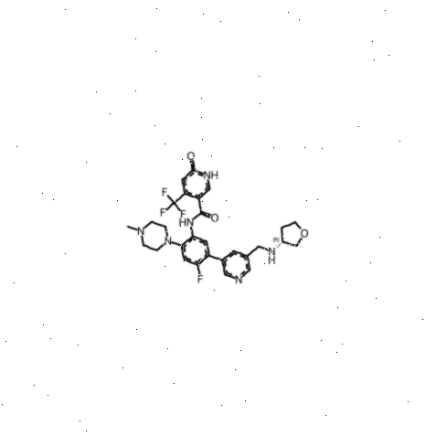 CN1CCN(c2cc(F)c(-c3cncc(CN[C@@H]4CCOC4)c3)cc2NC(=O)c2c[nH]c(=O)cc2C(F)(F)F)CC1